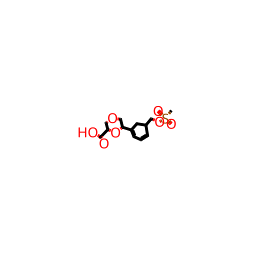 CS(=O)(=O)OCC1C=CC=C(C2COCC(C(=O)O)O2)C1